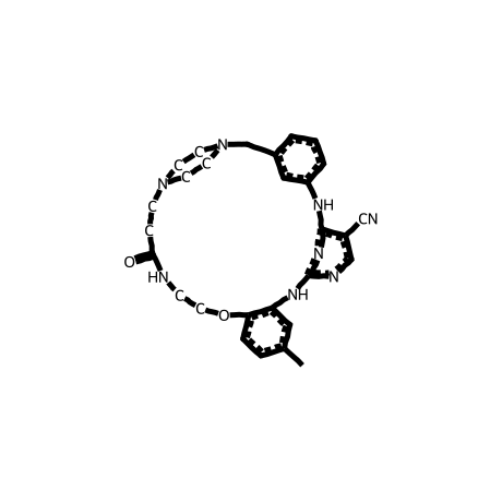 Cc1ccc2c(c1)Nc1ncc(C#N)c(n1)Nc1cccc(c1)CN1CCN(CCC(=O)NCCO2)CC1